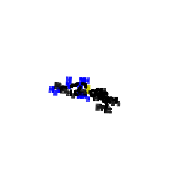 CC[C@H](CC[C@@H](C)[C@H]1CC[C@H]2[C@@H]3CC=C4C[C@@H](SSCCC(=N)N(CCCCNCCC(N)(CC)CC)CCC(C)(N)CC)CC[C@]4(C)[C@H]3CC[C@]12C)C(C)C